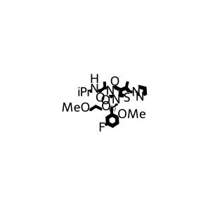 COCCCO[C@@H](Cn1c(=O)n(C(C)C(=O)NC(C)C)c(=O)c2c(C)c(-n3cccn3)sc21)c1cc(F)ccc1OC